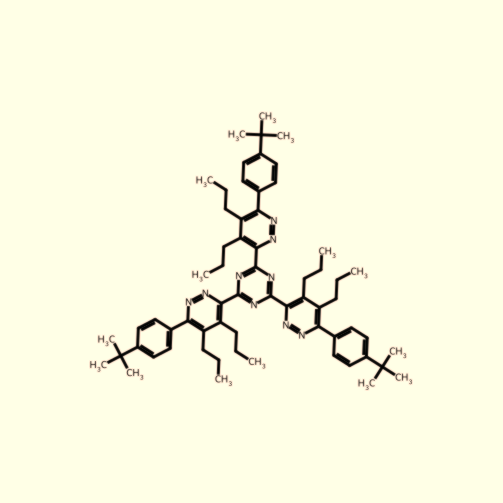 CCCc1c(-c2ccc(C(C)(C)C)cc2)nnc(-c2nc(-c3nnc(-c4ccc(C(C)(C)C)cc4)c(CCC)c3CCC)nc(-c3nnc(-c4ccc(C(C)(C)C)cc4)c(CCC)c3CCC)n2)c1CCC